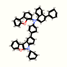 c1ccc(-c2ccc(N(c3ccc(-c4ccc5c(c4)c4c6ccccc6oc4n5-c4ccccc4)cc3)c3cccc4c3oc3ccccc34)c3ccccc23)cc1